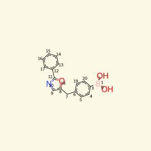 OB(O)c1ccc(Cc2cnc(-c3ccccc3)o2)cc1